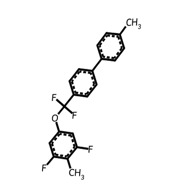 Cc1ccc(-c2ccc(C(F)(F)Oc3cc(F)c(C)c(F)c3)cc2)cc1